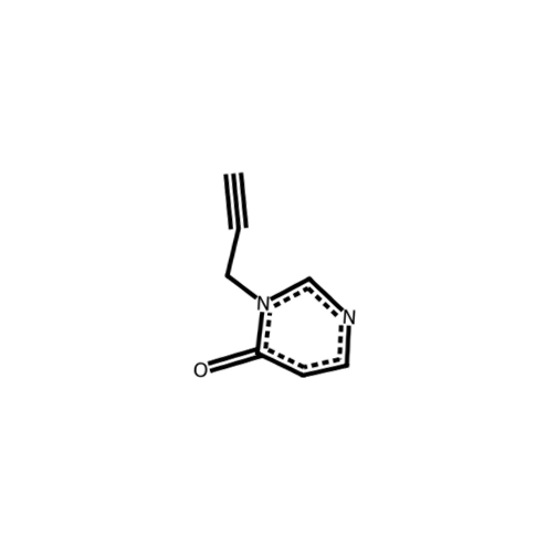 C#CCn1cnccc1=O